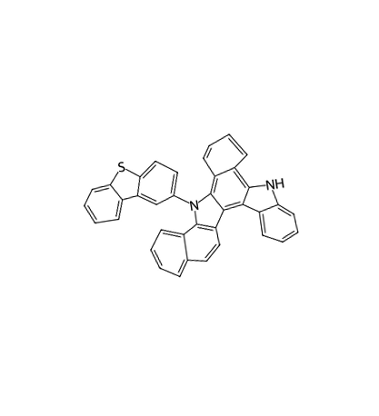 c1ccc2c(c1)ccc1c3c4c5ccccc5[nH]c4c4ccccc4c3n(-c3ccc4sc5ccccc5c4c3)c21